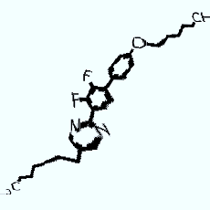 CCCCCCCc1cnc(-c2ccc(-c3ccc(OCCCCCC)cc3)c(F)c2F)nc1